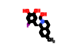 C=C1C=CC2C(CCN(CO)[C@H]2Cc2cc(O)c(O)cc2I)C1